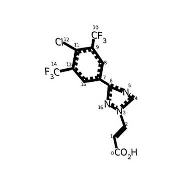 O=C(O)C=Cn1cnc(-c2cc(C(F)(F)F)c(Cl)c(C(F)(F)F)c2)n1